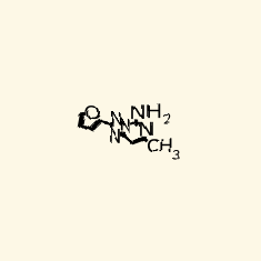 Cc1cc2nc(-c3ccco3)nn2c(N)n1